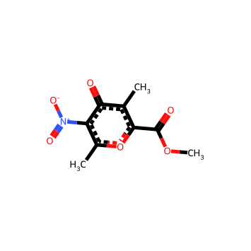 COC(=O)c1oc(C)c([N+](=O)[O-])c(=O)c1C